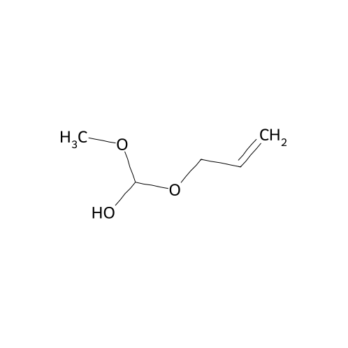 C=CCOC(O)OC